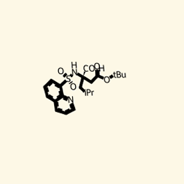 CC(C)C[C@](CC(=O)OC(C)(C)C)(NS(=O)(=O)c1cccc2cccnc12)C(=O)O